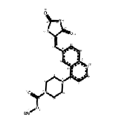 CC(C)(C)OC(=O)N1CCN(c2ccnc3ccc(C=C4SC(=O)NC4=O)cc23)CC1